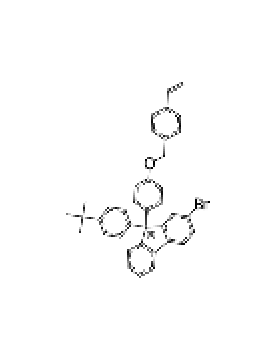 C=Cc1ccc(COc2ccc([C@]3(c4ccc(C(C)(C)C)cc4)c4ccccc4-c4ccc(Br)cc43)cc2)cc1